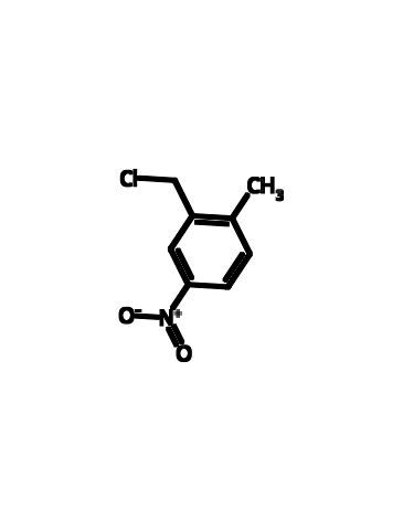 Cc1ccc([N+](=O)[O-])cc1CCl